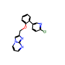 Clc1ccc(-c2ccccc2OCc2cn3cccnc3n2)cn1